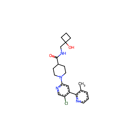 Cc1cccnc1-c1cc(N2CCC(C(=O)NCC3(O)CCC3)CC2)ncc1Cl